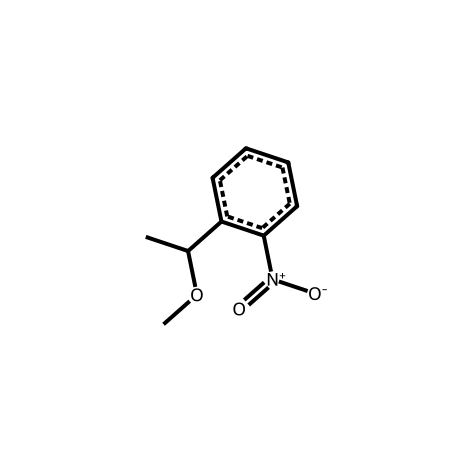 COC(C)c1ccccc1[N+](=O)[O-]